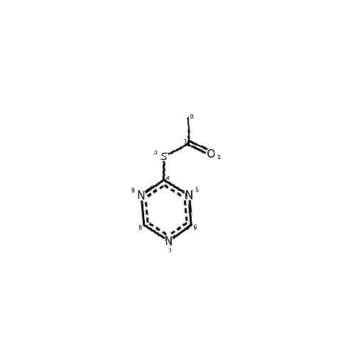 CC(=O)Sc1ncncn1